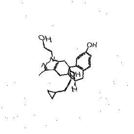 Cc1nn(CCO)c2c1C[C@@]1(O)[C@H]3Cc4ccc(O)cc4[C@@]1(CCN3CC1CC1)C2